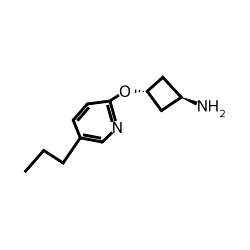 CCCc1ccc(O[C@H]2C[C@H](N)C2)nc1